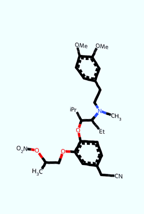 CCC(C(Oc1ccc(CC#N)cc1OCC(C)O[N+](=O)[O-])C(C)C)N(C)CCc1ccc(OC)c(OC)c1